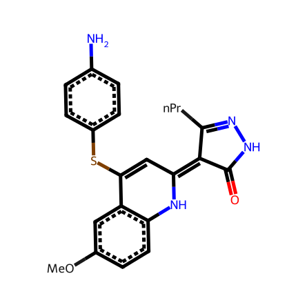 CCCC1=NNC(=O)/C1=C1/C=C(Sc2ccc(N)cc2)c2cc(OC)ccc2N1